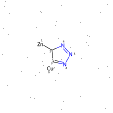 [Cu].[Zn][CH]1C=NN=N1